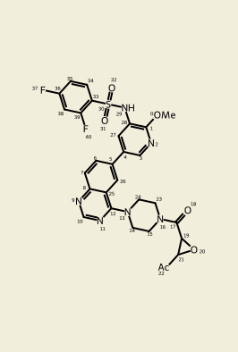 COc1ncc(-c2ccc3ncnc(N4CCN(C(=O)C5OC5C(C)=O)CC4)c3c2)cc1NS(=O)(=O)c1ccc(F)cc1F